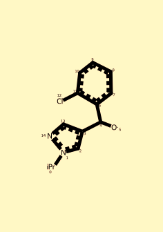 CC(C)n1cc(C([O])c2ccccc2Cl)cn1